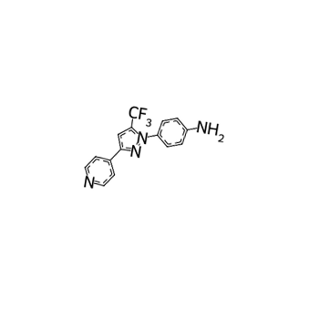 Nc1ccc(-n2nc(-c3ccncc3)cc2C(F)(F)F)cc1